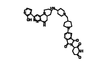 O=C1CCC(N2C(=O)c3ccc(N4CCC(CN5CCC(NC6CCN7c8cc(-c9ccccc9O)nnc8NCC7C6)CC5)CC4)cc3C2=O)C(=O)N1